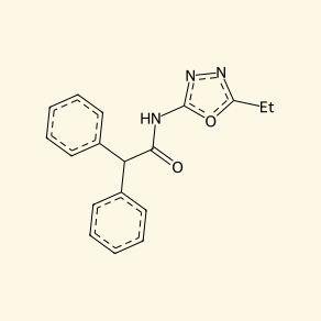 CCc1nnc(NC(=O)C(c2ccccc2)c2ccccc2)o1